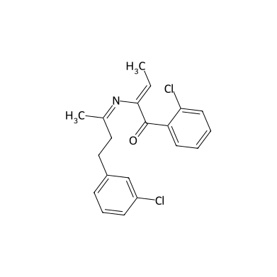 C/C=C(\N=C(\C)CCc1cccc(Cl)c1)C(=O)c1ccccc1Cl